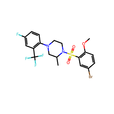 COc1ccc(Br)cc1S(=O)(=O)N1CCN(c2ccc(F)cc2C(F)(F)F)CC1C